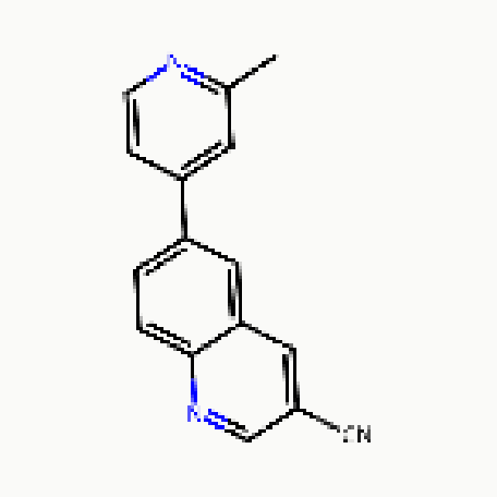 Cc1cc(-c2ccc3ncc(C#N)cc3c2)ccn1